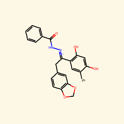 CC(C)c1cc(/C(Cc2ccc3c(c2)OCO3)=N/NC(=O)c2ccccc2)c(O)cc1O